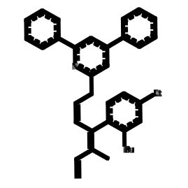 C=C/C(C)=C(\C=C/Cc1cc(-c2ccccc2)cc(-c2ccccc2)n1)c1ccc(CC)cc1C(C)CC